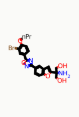 CCCOc1ccc(-c2nc(-c3ccc4oc(C(N)(CO)CO)cc4c3)no2)cc1Br